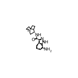 Nc1cccc2c(C(=O)N[C@@H]3CN4CCC45CCC35)n[nH]c12